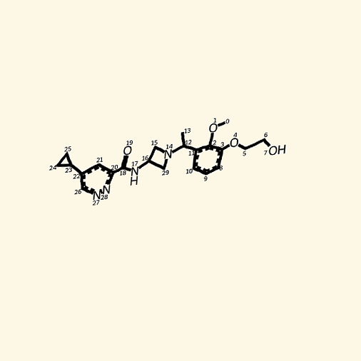 COc1c(OCCO)cccc1C(C)N1CC(NC(=O)c2cc(C3CC3)cnn2)C1